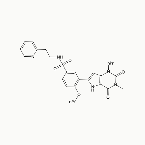 CCCOc1ccc(S(=O)(=O)NCCc2ccccn2)cc1-c1cc2c([nH]1)c(=O)n(C)c(=O)n2CCC